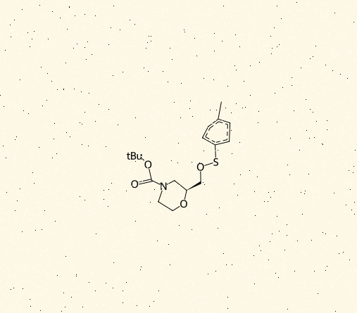 Cc1ccc(SOC[C@@H]2CN(C(=O)OC(C)(C)C)CCO2)cc1